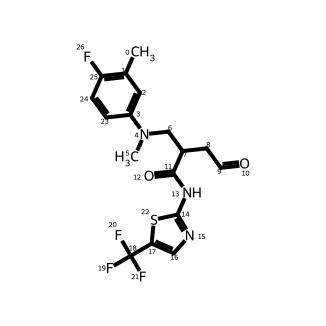 Cc1cc(N(C)CC(CC=O)C(=O)Nc2ncc(C(F)(F)F)s2)ccc1F